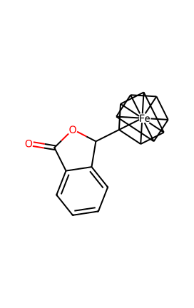 O=C1OC([C]23[CH]4[CH]5[CH]6[CH]2[Fe]56432789[CH]3[CH]2[CH]7[CH]8[CH]39)c2ccccc21